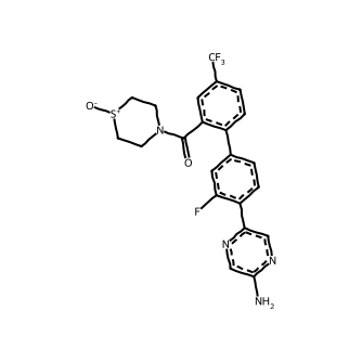 Nc1cnc(-c2ccc(-c3ccc(C(F)(F)F)cc3C(=O)N3CC[S+]([O-])CC3)cc2F)cn1